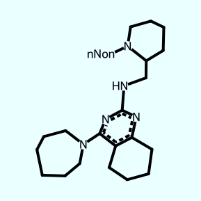 CCCCCCCCCN1CCCCC1CNc1nc2c(c(N3CCCCCC3)n1)CCCC2